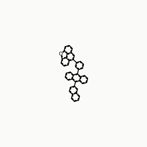 c1cc(-c2c3ccccc3c(-c3ccc4ccccc4c3)c3ccccc23)cc(-c2cc3cccc4oc5cccc2c5c34)c1